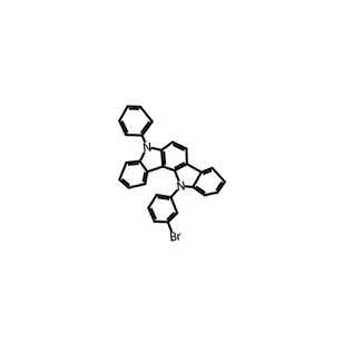 Brc1cccc(-n2c3ccccc3c3ccc4c(c5ccccc5n4-c4ccccc4)c32)c1